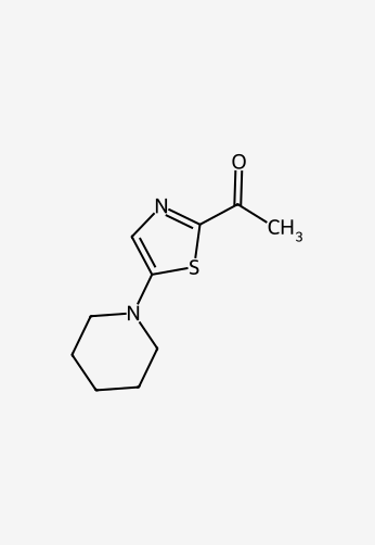 CC(=O)c1ncc(N2CCCCC2)s1